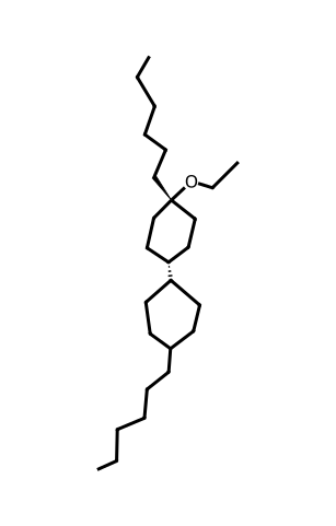 CCCCCCC1CCC([C@H]2CC[C@@](CCCCCC)(OCC)CC2)CC1